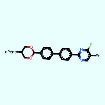 CCCCCC1COC(c2ccc(-c3ccc(-c4ncc(CC)c(F)n4)cc3)cc2)OC1